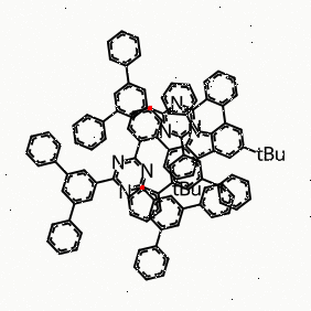 CC(C)(C)c1cc(-c2ccccc2-c2nc(-c3cc(-c4ccccc4)cc(-c4ccccc4)c3)nc(-c3cc(-c4ccccc4)cc(-c4ccccc4)c3)n2)c2c(c1)c1cc(C(C)(C)C)cc(-c3ccccc3-c3nc(-c4cc(-c5ccccc5)cc(-c5ccccc5)c4)nc(-c4cc(-c5ccccc5)cc(-c5ccccc5)c4)n3)c1n2-c1ccccc1